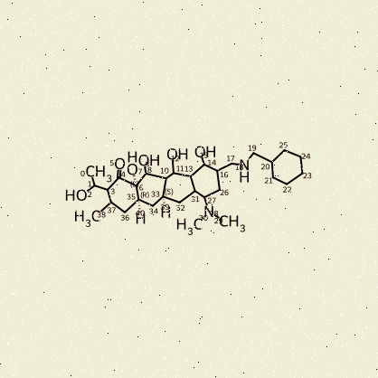 CC(O)C1C(=O)[C@@]2(O)C(O)C3C(O)C4C(O)C(CNCC5CCCCC5)CC(N(C)C)C4C[C@H]3C[C@H]2CC1C